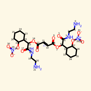 NCCNC(=O)C(OC(=O)/C=C/C(=O)OC(C(=O)NCCN)C1CCCCC1O[N+](=O)[O-])C1CCCCC1O[N+](=O)[O-]